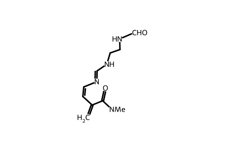 C=C(/C=C\N=C\NCCNC=O)C(=O)NC